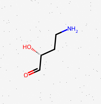 NCC[C@@H](O)C=O